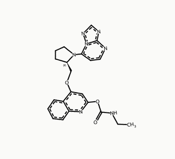 CCNC(=O)Oc1cc(OC[C@H]2CCCN2c2ccnc3ncnn23)c2ccccc2n1